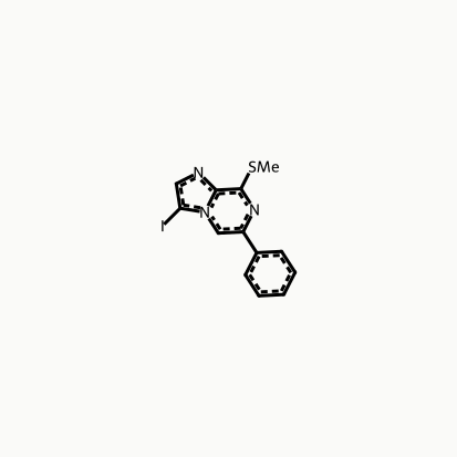 CSc1nc(-c2ccccc2)cn2c(I)cnc12